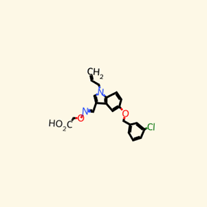 C=CCn1cc(/C=N/OCC(=O)O)c2cc(OCc3cccc(Cl)c3)ccc21